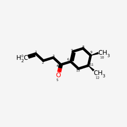 C=CCCC(=O)C1=CC[C@@H](C)[C@@H](C)C1